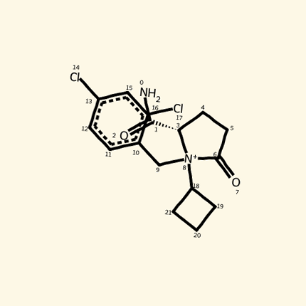 NC(=O)[C@@H]1CCC(=O)[N+]1(Cc1ccc(Cl)cc1Cl)C1CCC1